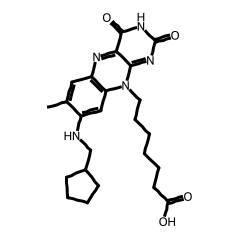 Cc1cc2nc3c(=O)[nH]c(=O)nc-3n(CCCCCCC(=O)O)c2cc1NCC1CCCC1